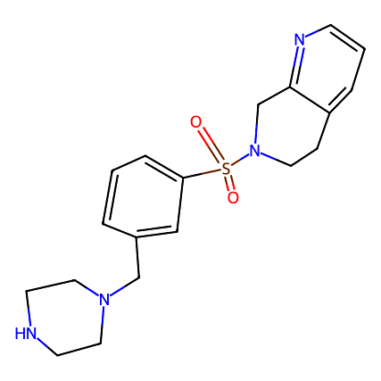 O=S(=O)(c1cccc(CN2CCNCC2)c1)N1CCc2cccnc2C1